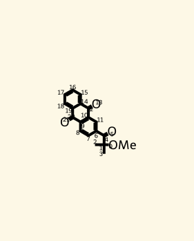 COC(C)(C)C(=O)c1ccc2c(c1)C(=O)c1ccccc1C2=O